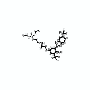 CCO[Si](C)(CCCNC(=O)CCc1cc(-n2nc3ccc(C(F)(F)F)cc3n2)c(O)c(C(C)(C)C)c1)OCC